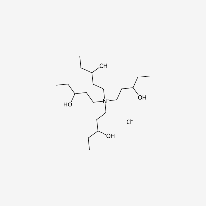 CCC(O)CC[N+](CCC(O)CC)(CCC(O)CC)CCC(O)CC.[Cl-]